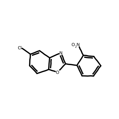 O=[N+]([O-])c1ccccc1-c1nc2cc(Cl)ccc2o1